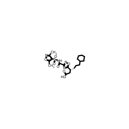 Cc1noc(C)c1S(=O)(=O)NC(=O)c1noc([C@H](CCCC2CCCCC2)CC(=O)O)n1